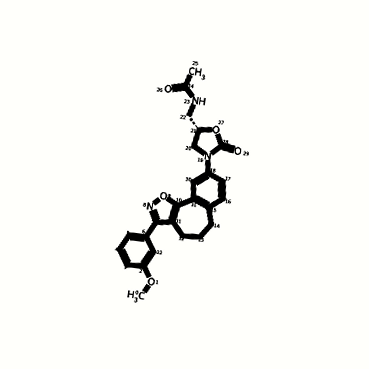 COc1cccc(-c2noc3c2CCCc2ccc(N4C[C@H](CNC(C)=O)OC4=O)cc2-3)c1